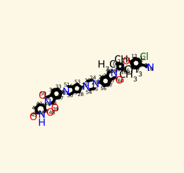 CC1(C)C(Oc2ccc(C#N)c(Cl)c2)C(C)(C)C1N1Cc2cc(N3CCN(C4CC5CN(c6ccc7c(c6)C(=O)N(C6CCC(=O)NC6=O)C7=O)CC5C4)CC3)ccc2C1=O